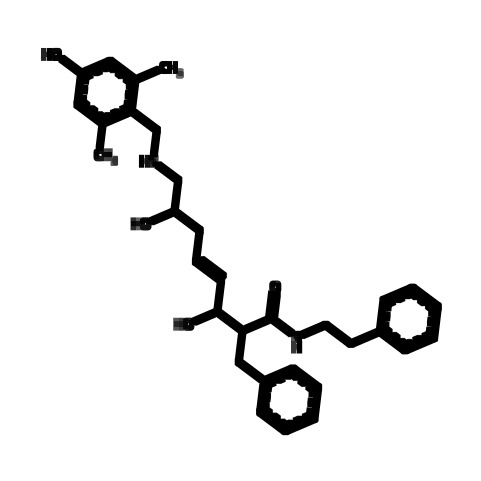 Cc1cc(O)cc(C)c1CNCC(O)CC=CC(O)C(Cc1ccccc1)C(=O)NCCc1ccccc1